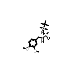 COc1ccc(CNS(C)(=O)=N[Si](C)(C)C(C)(C)C)cc1OC